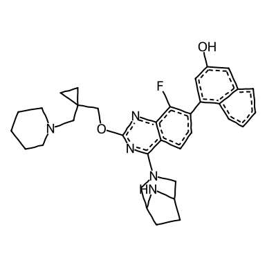 Oc1cc(-c2ccc3c(N4CC5CCC(C4)N5)nc(OCC4(CN5CCCCC5)CC4)nc3c2F)c2ccccc2c1